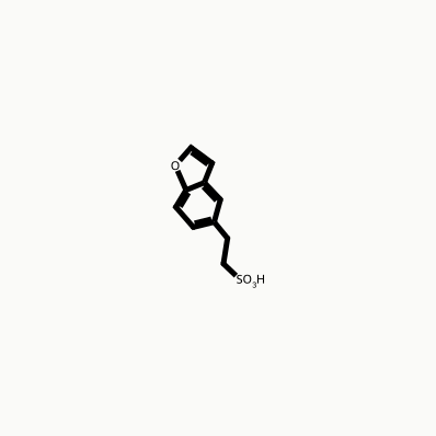 O=S(=O)(O)CCc1ccc2occc2c1